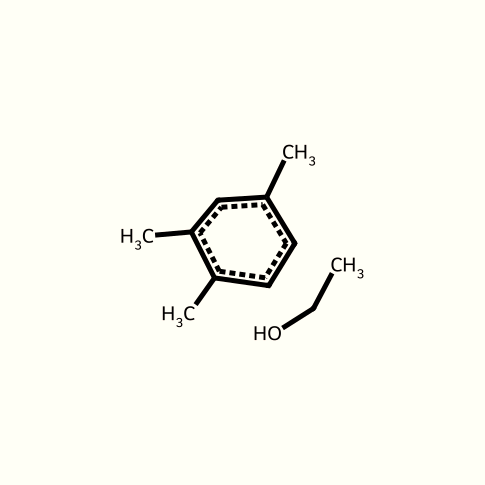 CCO.Cc1ccc(C)c(C)c1